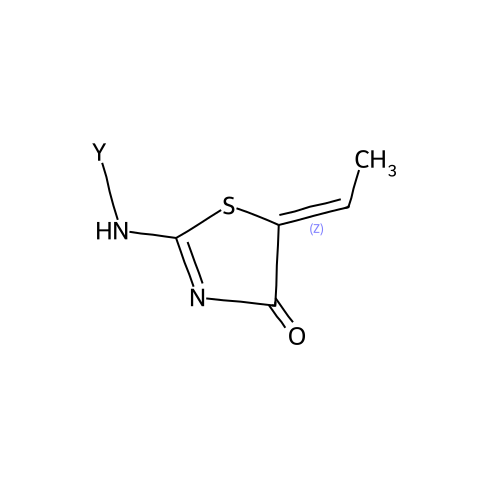 C/C=C1\SC([NH][Y])=NC1=O